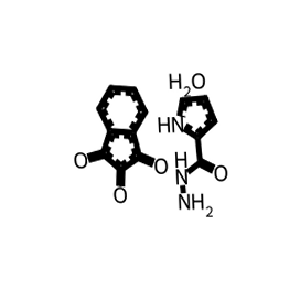 NNC(=O)c1ccc[nH]1.O.O=c1c(=O)c2ccccc2c1=O